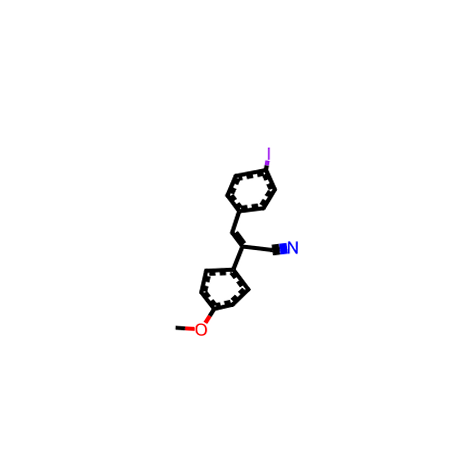 COc1ccc(/C(C#N)=C/c2ccc(I)cc2)cc1